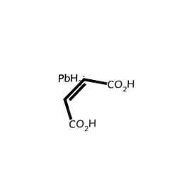 O=C(O)/C=C\C(=O)O.[PbH2]